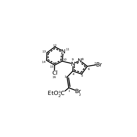 CCOC(=O)/C(Br)=C/c1cc(Br)nn1-c1ncccc1Cl